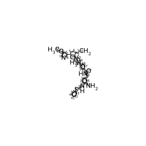 C=C/C=C(\C=C/Cc1cncc(OCC)c1)C(C)N1CCN(c2ccc(C(=O)NSc3ccc(NCCSc4ccccc4)c(N)c3)cc2)CC1